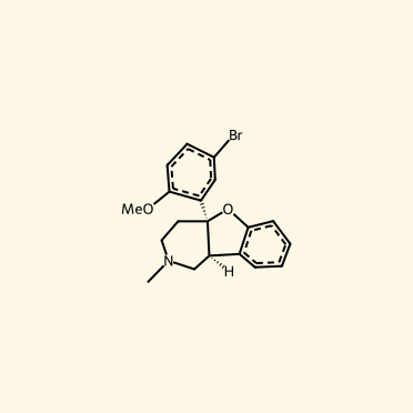 COc1ccc(Br)cc1[C@@]12CCN(C)C[C@@H]1c1ccccc1O2